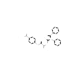 CC(Sc1nnc(-c2ccccc2)n1-c1ccccc1)C(=O)Nc1ccc(C(C)C)cc1